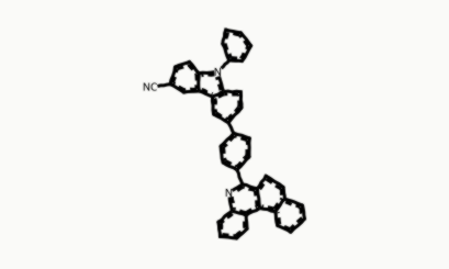 N#Cc1ccc2c(c1)c1cc(-c3ccc(-c4nc5ccccc5c5c4ccc4ccccc45)cc3)ccc1n2-c1ccccc1